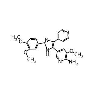 COc1ccc(-c2nc(-c3ccncc3)c(-c3cnc(N)c(OC)c3)[nH]2)cc1OC